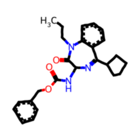 CCCN1C(=O)C(NC(=O)OCc2ccccc2)N=C(C2CCCC2)c2ccccc21